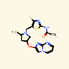 CC(=O)Nc1nc(F)c(CN2CC(Oc3cn4cccnc4n3)CC2C)s1